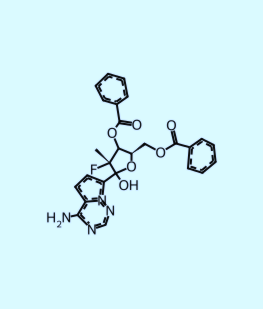 C[C@@]1(F)C(OC(=O)c2ccccc2)[C@@H](COC(=O)c2ccccc2)OC1(O)c1ccc2c(N)ncnn12